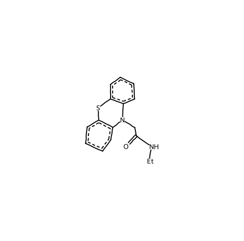 CCNC(=O)CN1c2ccccc2Sc2ccccc21